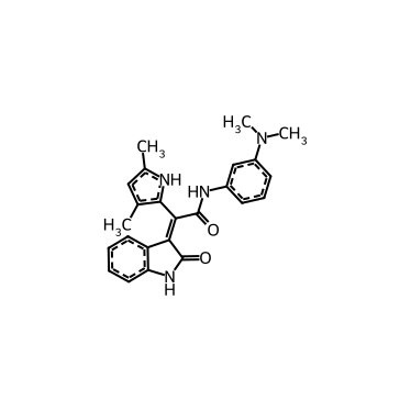 Cc1cc(C)c(C(C(=O)Nc2cccc(N(C)C)c2)=C2C(=O)Nc3ccccc32)[nH]1